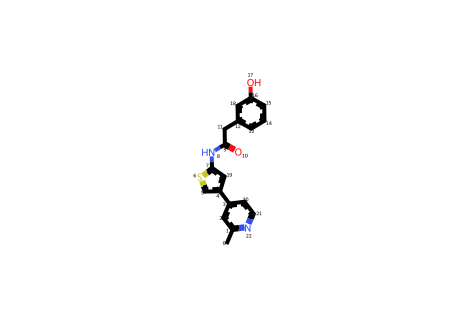 Cc1cc(-c2csc(NC(=O)Cc3cccc(O)c3)c2)ccn1